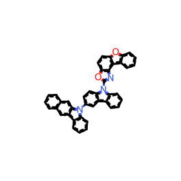 c1ccc2cc3c(cc2c1)c1ccccc1n3-c1ccc2c(c1)c1ccccc1n2-c1nc2c(ccc3oc4ccccc4c32)o1